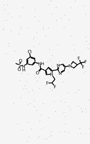 CS(=O)(=O)Nc1cc(Cl)cc(NC(=O)c2cc(-c3ncc(N4CC(C(F)(F)F)C4)cn3)n(CC(F)F)c2)c1